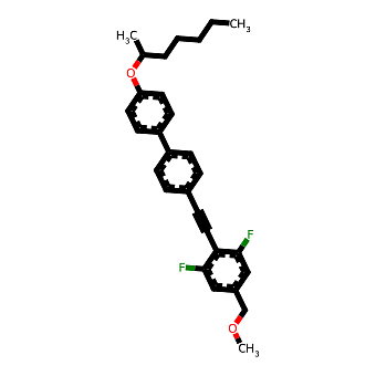 CCCCCC(C)Oc1ccc(-c2ccc(C#Cc3c(F)cc(COC)cc3F)cc2)cc1